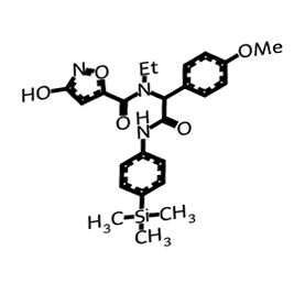 CCN(C(=O)c1cc(O)no1)C(C(=O)Nc1ccc([Si](C)(C)C)cc1)c1ccc(OC)cc1